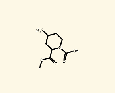 COC(=O)C1CC(N)CCN1C(=O)O